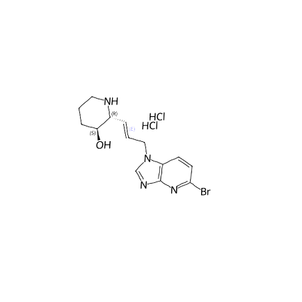 Cl.Cl.O[C@H]1CCCN[C@@H]1/C=C/Cn1cnc2nc(Br)ccc21